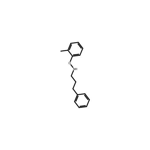 Cc1ccccc1ONCCCc1ccccc1